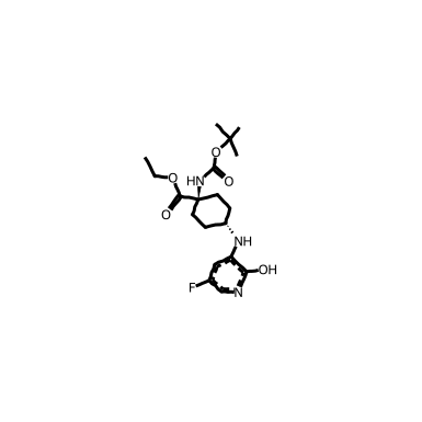 CCOC(=O)[C@]1(NC(=O)OC(C)(C)C)CC[C@H](Nc2cc(F)cnc2O)CC1